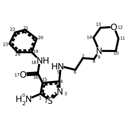 Nc1snc(NCCCN2CCOCC2)c1C(=O)Nc1ccccc1